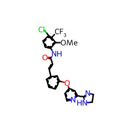 COc1c(NC(=O)C=Cc2cccc(Oc3ccnc(C4=NCCN4)c3)c2)ccc(Cl)c1C(F)(F)F